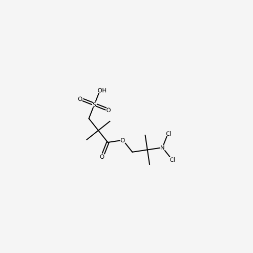 CC(C)(CS(=O)(=O)O)C(=O)OCC(C)(C)N(Cl)Cl